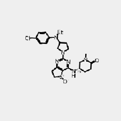 CCN(c1ccc(Cl)cc1)C1CCN(c2nc3c(c(N[C@H]4CCC(=O)N(C)C4)n2)[S+]([O-])CC3)C1